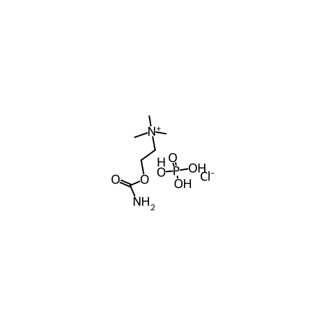 C[N+](C)(C)CCOC(N)=O.O=P(O)(O)O.[Cl-]